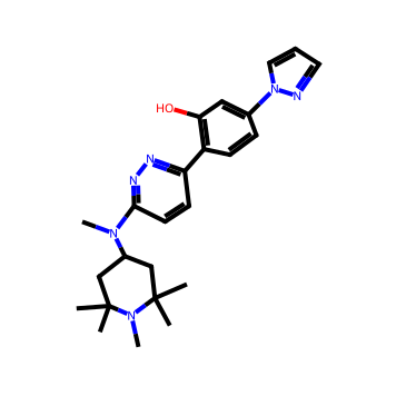 CN(c1ccc(-c2ccc(-n3cccn3)cc2O)nn1)C1CC(C)(C)N(C)C(C)(C)C1